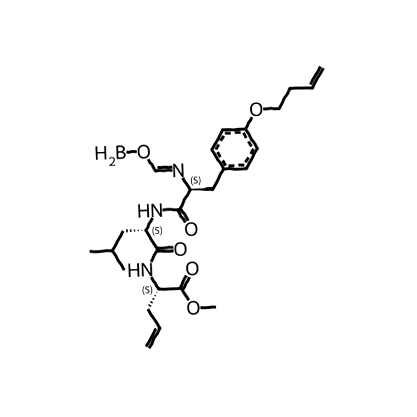 BOC=N[C@@H](Cc1ccc(OCCC=C)cc1)C(=O)N[C@@H](CC(C)C)C(=O)N[C@@H](CC=C)C(=O)OC